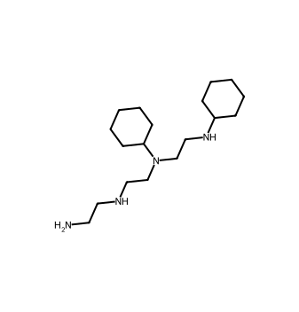 NCCNCCN(CCNC1CCCCC1)C1CCCCC1